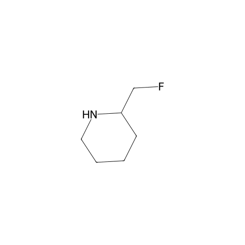 FCC1CCCCN1